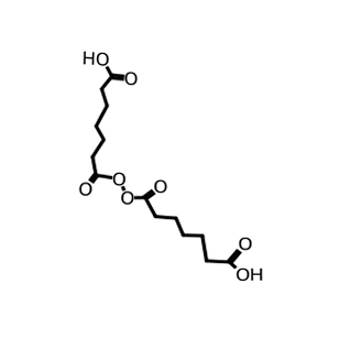 O=C(O)CCCCCC(=O)OOC(=O)CCCCCC(=O)O